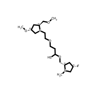 COC[C@@H]1C[C@@H](OC)CN1CCOCCC(S)OC[C@@H]1C[C@H](F)CN1C